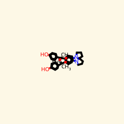 CC(C)(c1ccc(O)cc1)c1ccc(N2CCCC23CCCN3c2ccc(C(C)(C)c3ccc(O)cc3)cc2)cc1